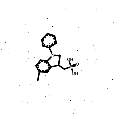 Cc1ccc2c(c1)C(CP(=O)(O)O)CN2c1ccccc1